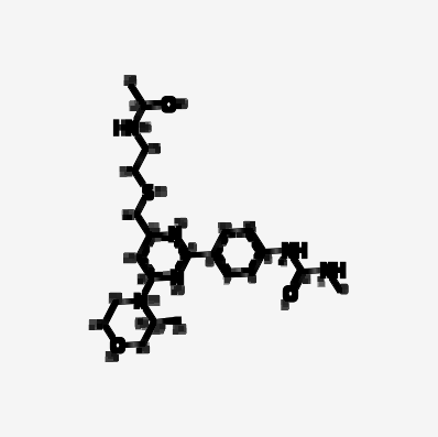 CNC(=O)Nc1ccc(-c2nc(CSCCNC(C)=O)cc(N3CCOC[C@@H]3C)n2)cc1